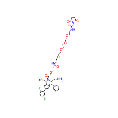 CC(C)(C)C(c1cc(-c2cc(F)ccc2F)cn1Cc1ccccc1)N(CCCN)C(=O)CSCCC(=O)NCCOCCOCCOCCOCCNC(=O)CN1C(=O)C=CC1=O